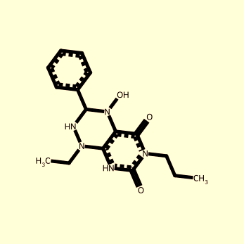 CCCn1c(=O)[nH]c2c(c1=O)N(O)C(c1ccccc1)NN2CC